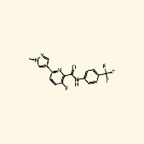 Cn1cc(-c2ccc(F)c(C(=O)Nc3ccc(C(F)(F)F)cc3)n2)cn1